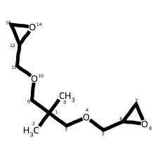 CC(C)(COCC1CO1)COCC1CO1